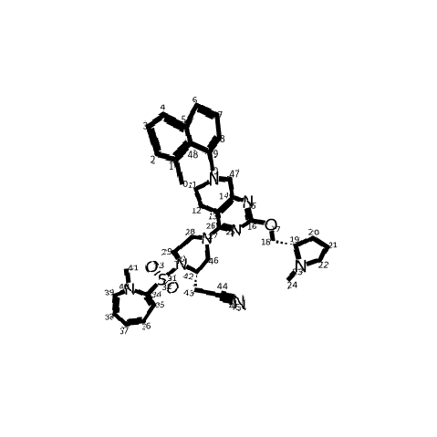 Cc1cccc2cccc(N3CCc4c(nc(OC[C@@H]5CCCN5C)nc4N4CCN(S(=O)(=O)C5=CC=CC=CN5C)[C@@H](CC#N)C4)C3)c12